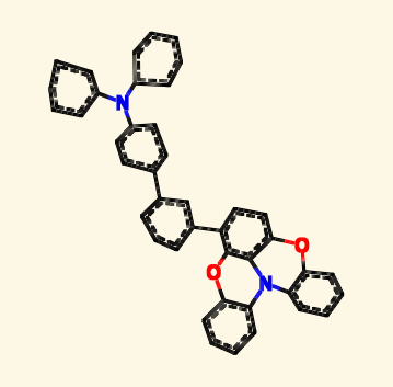 c1ccc(N(c2ccccc2)c2ccc(-c3cccc(-c4ccc5c6c4Oc4ccccc4N6c4ccccc4O5)c3)cc2)cc1